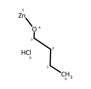 CCCC[O][Zn].Cl